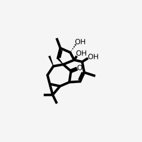 CC1=CC2C(=O)[C@]3(C=C(C)[C@H](O)C3(O)C1O)[C@H](C)CC1C2C1(C)C